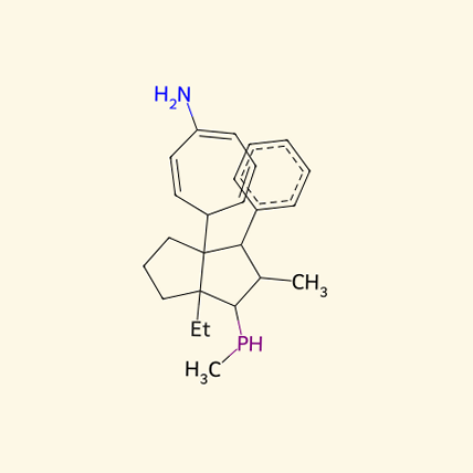 CCC12CCCC1(C1C=CC=C(N)C=C1)C(c1ccccc1)C(C)C2PC